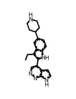 CCc1c(-c2cnnc3[nH]ccc23)[nH]c2ccc(C3CCNCC3)cc12